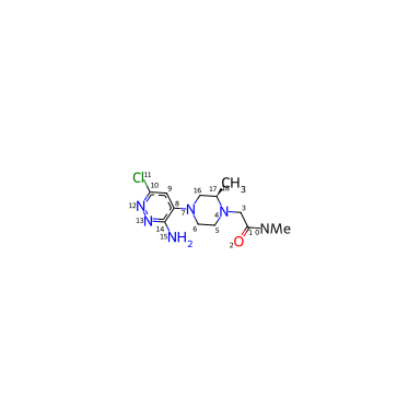 CNC(=O)CN1CCN(c2cc(Cl)nnc2N)C[C@H]1C